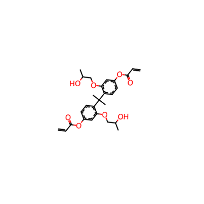 C=CC(=O)Oc1ccc(C(C)(C)c2ccc(OC(=O)C=C)cc2OCC(C)O)c(OCC(C)O)c1